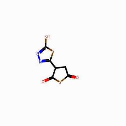 O=C1CC(c2nnc(S)s2)C(=O)S1